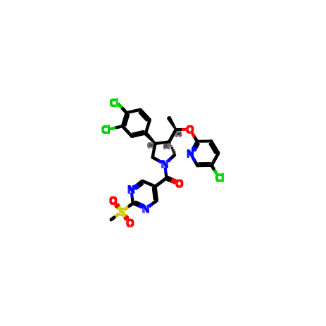 C[C@@H](Oc1ccc(Cl)cn1)[C@@H]1CN(C(=O)c2cnc(S(C)(=O)=O)nc2)C[C@H]1c1ccc(Cl)c(Cl)c1